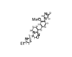 CCc1csc(C[C@H]2CON=C3C(Cc4ccc(-n5cnc(C)c5)c(OC)c4)=CCCN32)n1